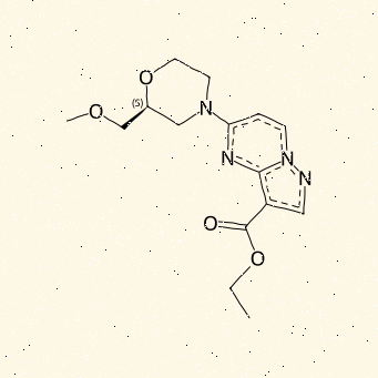 CCOC(=O)c1cnn2ccc(N3CCO[C@H](COC)C3)nc12